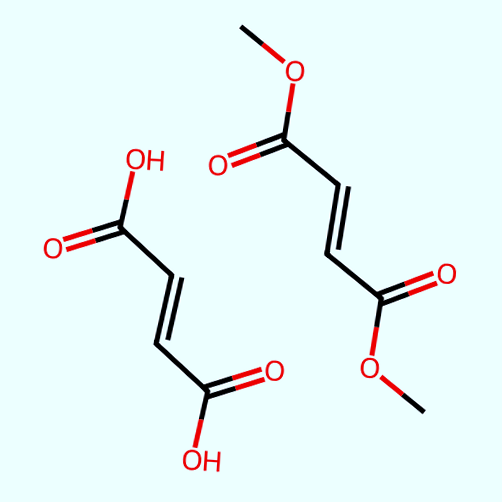 COC(=O)/C=C/C(=O)OC.O=C(O)/C=C/C(=O)O